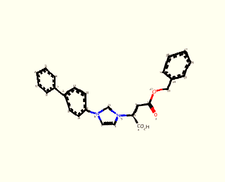 O=C(C[C@@H](C(=O)O)N1C=CN(c2ccc(-c3ccccc3)cc2)C1)OCc1ccccc1